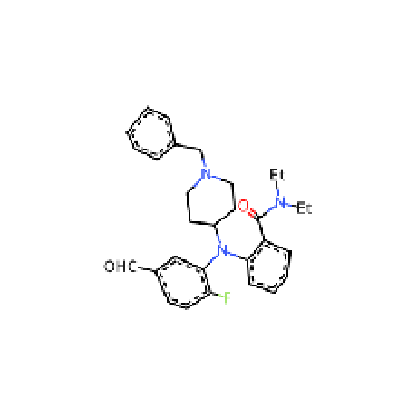 CCN(CC)C(=O)c1ccccc1N(c1cc(C=O)ccc1F)C1CCN(Cc2ccccc2)CC1